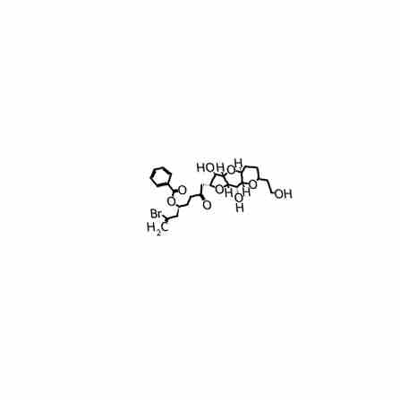 C=C(Br)C[C@H](CCC(=O)C[C@H]1O[C@H]2[C@@H](O)[C@H]3OC(CCO)CC[C@@H]3O[C@H]2[C@H]1O)OC(=O)c1ccccc1